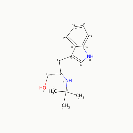 CC(C)(C)N[C@H](CO)Cc1c[nH]c2ccccc12